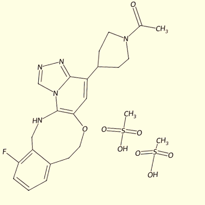 CC(=O)N1CCC(c2cc3c(n4cnnc24)NCc2c(F)cccc2CCO3)CC1.CS(=O)(=O)O.CS(=O)(=O)O